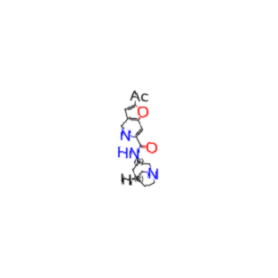 CC(=O)c1cc2cnc(C(=O)N[C@@H]3C[C@H]4CCN(C4)C3)cc2o1